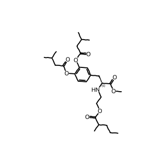 CCCC(C)C(=O)OCCN[C@@H](Cc1ccc(OC(=O)CC(C)C)c(OC(=O)CC(C)C)c1)C(=O)OC